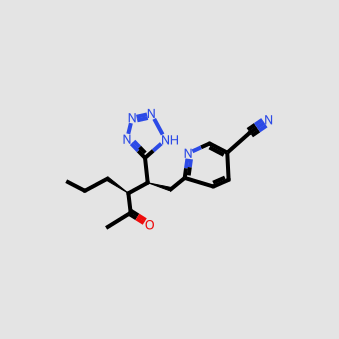 CCC[C@H](C(C)=O)[C@H](Cc1ccc(C#N)cn1)c1nnn[nH]1